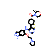 C[C@H]1COCCN1C(=O)[C@H]1CCc2c(sc3ncnc(Nc4cc5cn[nH]c5cc4OCCN4CCCC4)c23)C1